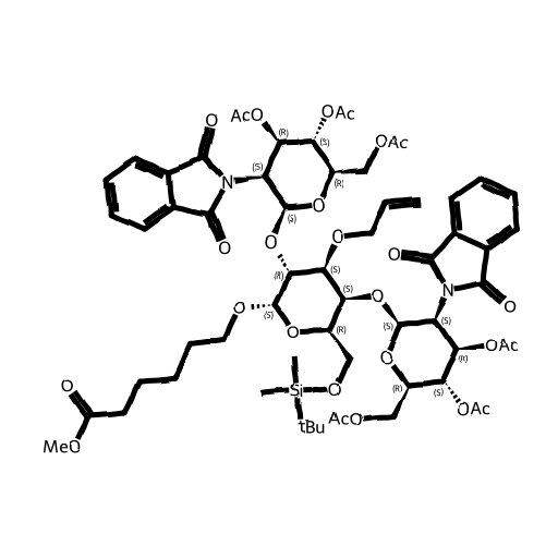 C=CCO[C@H]1[C@@H](O[C@@H]2O[C@H](COC(C)=O)[C@@H](OC(C)=O)[C@H](OC(C)=O)[C@@H]2N2C(=O)c3ccccc3C2=O)[C@@H](CO[Si](C)(C)C(C)(C)C)O[C@H](OCCCCCC(=O)OC)[C@@H]1O[C@@H]1O[C@H](COC(C)=O)[C@@H](OC(C)=O)[C@H](OC(C)=O)[C@@H]1N1C(=O)c2ccccc2C1=O